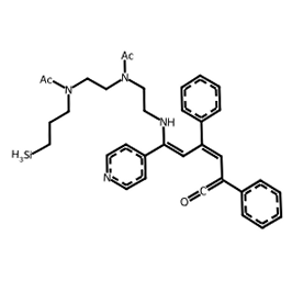 CC(=O)N(CCC[SiH3])CCN(CCN/C(=C\C(=C/C(=C=O)c1ccccc1)c1ccccc1)c1ccncc1)C(C)=O